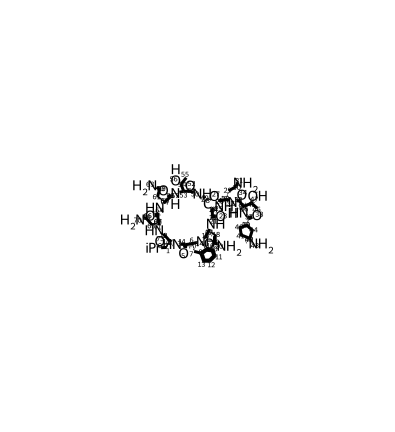 CC(C)C[C@@H]1NC(=O)[C@@H](Cc2ccccc2)NC(=O)[C@H](CCN)NC(=O)[C@@H](NC(=O)[C@H](CCN)NC(=O)[C@@H](NC(=O)[C@H]2CC[C@@H](N)C2)C(C)O)CCNC(=O)C(C(C)O)NC(=O)[C@H](CCN)NC(=O)[C@H](CCN)NC1=O